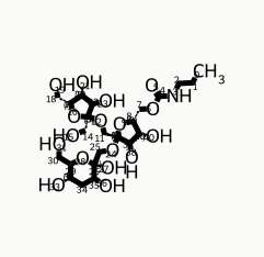 CCCNC(=O)OC[C@H]1O[C@@](CO[C@@]2(CO)O[C@H](CO)[C@H](O)C2O)(OC[C@@]2(O)OC(CO)[C@@H](O)CC2O)C(O)[C@H]1O